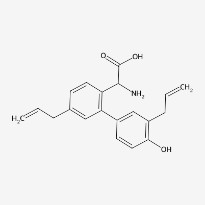 C=CCc1ccc(C(N)C(=O)O)c(-c2ccc(O)c(CC=C)c2)c1